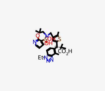 CCn1nnc2c(C)c([C@H](c3cc(CN4CC(C)(C)Oc5ncccc5S4(O)O)c(C)s3)C(C)(C)C(=O)O)ccc21